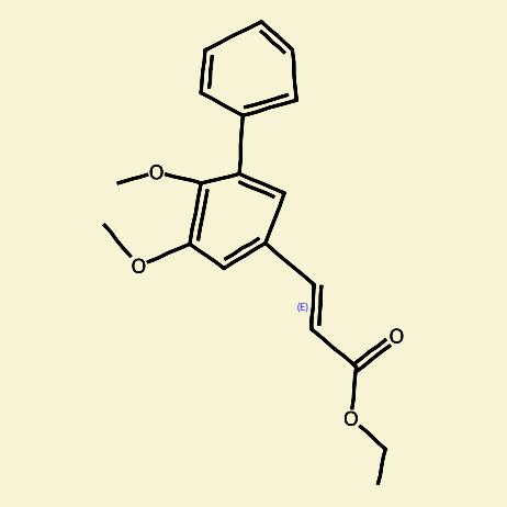 CCOC(=O)/C=C/c1cc(OC)c(OC)c(-c2ccccc2)c1